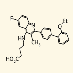 CCOc1ccccc1-c1ccc(-c2nc3ccc(F)cc3c(NCCCC(=O)O)c2C)cc1